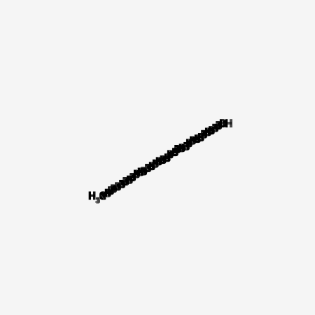 B=BB=BB=BB=BB=BB=BB=BB=BB=BB=BB=BB=BB=BB=BB=BB=BC